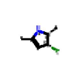 CC1=C[C@@H](Br)[C@@H](C)N1